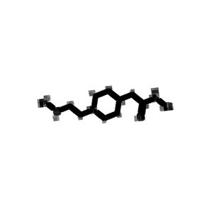 CCNC(=O)CC1CCN(CCOC(C)C)CC1